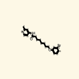 Cc1cc(NC(=O)CCCCCCCOc2cccc(Br)c2)ccn1